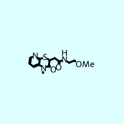 COCCNC(=O)CC1Sc2ncccc2N(C)C1=O